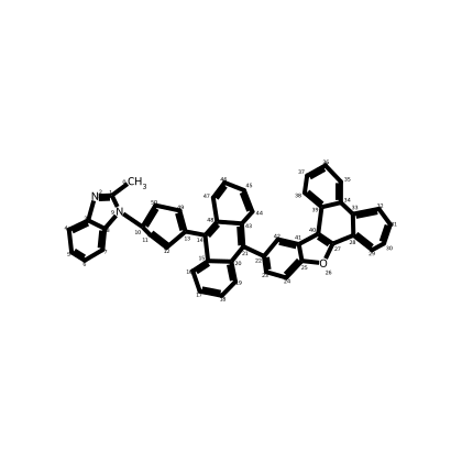 Cc1nc2ccccc2n1-c1ccc(-c2c3ccccc3c(-c3ccc4oc5c6ccccc6c6ccccc6c5c4c3)c3ccccc23)cc1